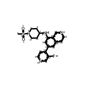 CS(=O)(=O)N1CCC(Nc2cc(-c3ccncc3F)cc3ccncc23)CC1